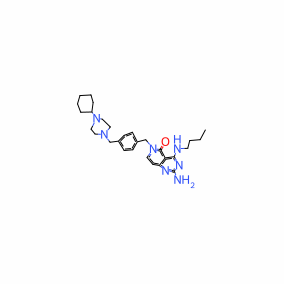 CCCCNc1nc(N)nc2ccn(Cc3ccc(CN4CCN(C5CCCCC5)CC4)cc3)c(=O)c12